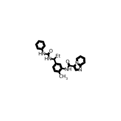 CCC(NC(=O)Nc1ccccc1)c1ccc(C)c(NC(=O)c2cnc3ccccn23)c1